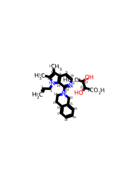 C=CCn1c(C)c(C)c2ccnc(N3CCc4ccccc4C3)c21.O=C(O)C(O)C(O)C(=O)O